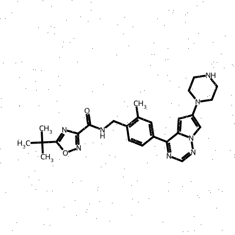 Cc1cc(-c2ncnn3cc(N4CCNCC4)cc23)ccc1CNC(=O)c1noc(C(C)(C)C)n1